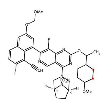 C#Cc1c(F)ccc2cc(OCOC)cc(-c3ncc4c(N5C[C@H]6CC[C@@H](C5)N6C(=O)O)nc(OC(C)C56CCC(OC)(CC5)CC6)nc4c3F)c12